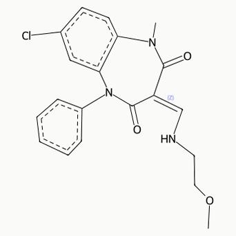 COCCN/C=C1/C(=O)N(C)c2ccc(Cl)cc2N(c2ccccc2)C1=O